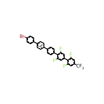 Fc1cc(-c2c(F)cc(C(F)(F)F)cc2F)cc(F)c1-c1ccc(C23CCC(c4ccc(Br)cc4)(CC2)CC3)cc1